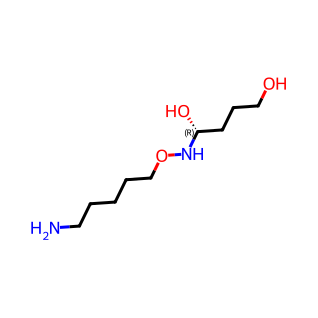 NCCCCCON[C@H](O)CCCO